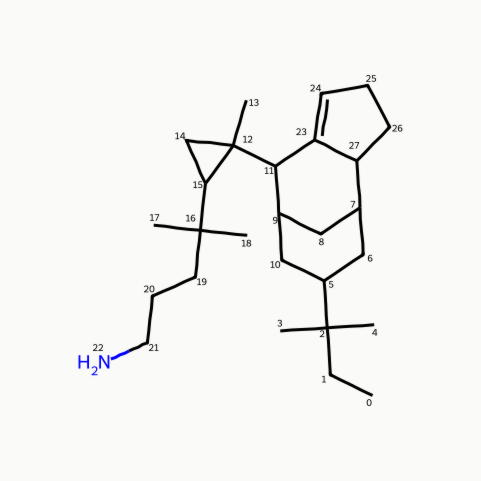 CCC(C)(C)C1CC2CC(C1)C(C1(C)CC1C(C)(C)CCCN)C1=CCCC12